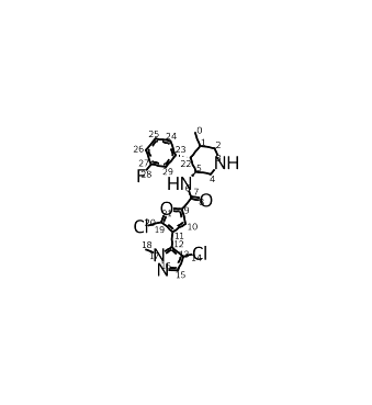 CC1CNC[C@@H](NC(=O)c2cc(-c3c(Cl)cnn3C)c(Cl)o2)[C@@H]1c1cccc(F)c1